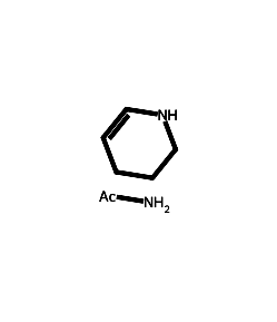 C1=CNCCC1.CC(N)=O